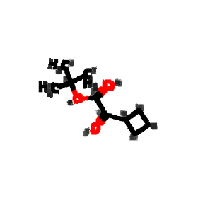 CC(C)(C)OC(=O)C(=O)C1CCC1